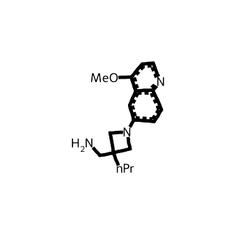 CCCC1(CN)CN(c2ccc3nccc(OC)c3c2)C1